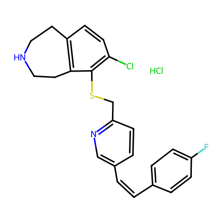 Cl.Fc1ccc(/C=C\c2ccc(CSc3c(Cl)ccc4c3CCNCC4)nc2)cc1